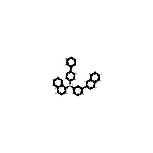 c1ccc(-c2ccc(N(c3cccc(-c4ccc5ccccc5c4)c3)c3cccc4ccccc34)cc2)cc1